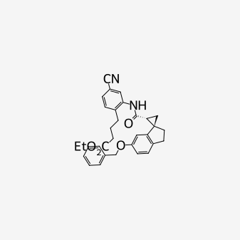 CCOC(=O)CCCc1ccc(C#N)cc1NC(=O)[C@@H]1C[C@]12CCc1ccc(OCc3ccccc3)cc12